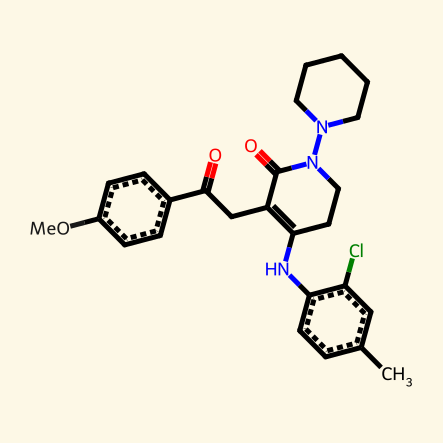 COc1ccc(C(=O)CC2=C(Nc3ccc(C)cc3Cl)CCN(N3CCCCC3)C2=O)cc1